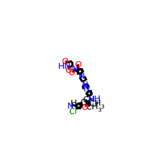 CC1(C)C(Nc2ccc(N3CCN(C4CCN(c5ccc6c(c5)C(=O)N(C5CCC(=O)NC5=O)C6=O)CC4)CC3)cc2)C(C)(C)C1Oc1ccc(C#N)c(Cl)c1